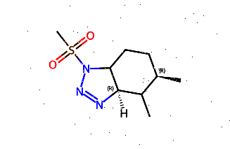 CC1[C@H]2N=NN(S(C)(=O)=O)C2CC[C@H]1C